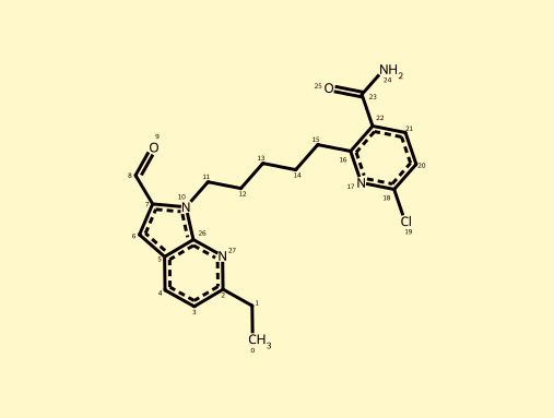 CCc1ccc2cc(C=O)n(CCCCCc3nc(Cl)ccc3C(N)=O)c2n1